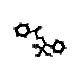 CC(C)(O)C(CCC(=O)c1ccccc1)c1ccccc1